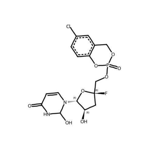 O=C1C=CN([C@@H]2O[C@](F)(COP3(=O)OCc4cc(Cl)ccc4O3)C[C@H]2O)C(O)N1